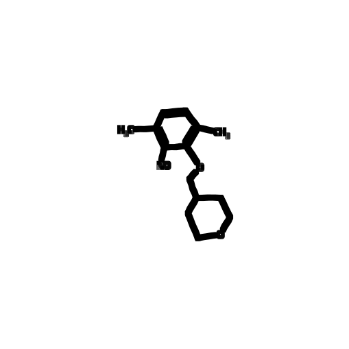 Cc1ccc(C)c(OCC2CCOCC2)c1N=O